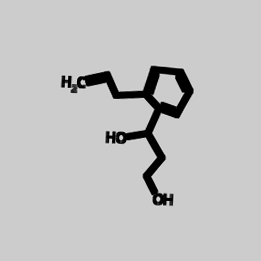 C=CCc1ccccc1C(O)CCO